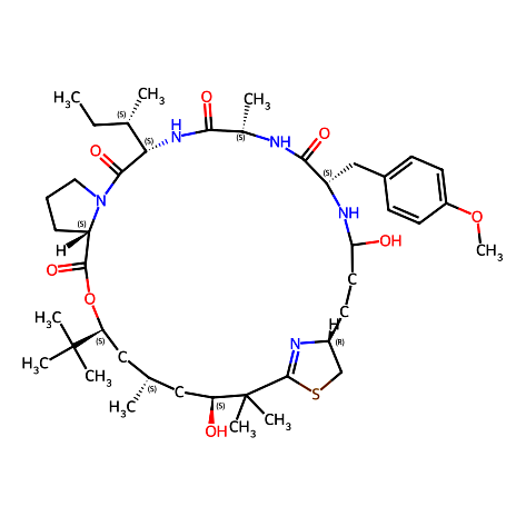 CC[C@H](C)[C@@H]1NC(=O)[C@H](C)NC(=O)[C@H](Cc2ccc(OC)cc2)NC(O)CC[C@@H]2CSC(=N2)C(C)(C)[C@@H](O)C[C@H](C)C[C@@H](C(C)(C)C)OC(=O)[C@@H]2CCCN2C1=O